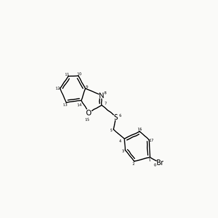 Brc1ccc(CSc2nc3ccccc3o2)cc1